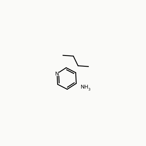 CCCC.N.c1ccncc1